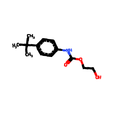 CC(C)(C)c1ccc(NC(=O)OCCO)cc1